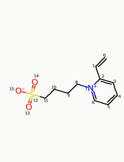 C=Cc1cccc[n+]1CCCCS(=O)(=O)[O-]